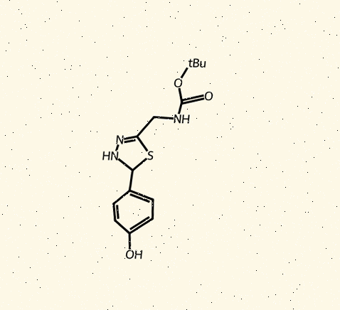 CC(C)(C)OC(=O)NCC1=NNC(c2ccc(O)cc2)S1